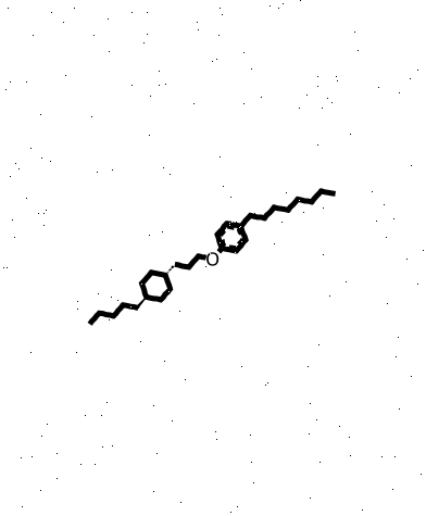 CCCCCCCCc1ccc(OCCC[C@H]2CC[C@H](CCCCC)CC2)cc1